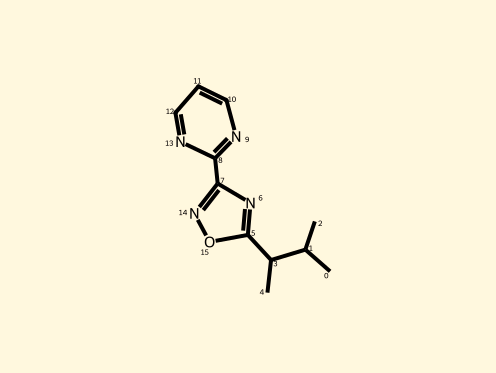 CC(C)C(C)c1nc(-c2ncccn2)no1